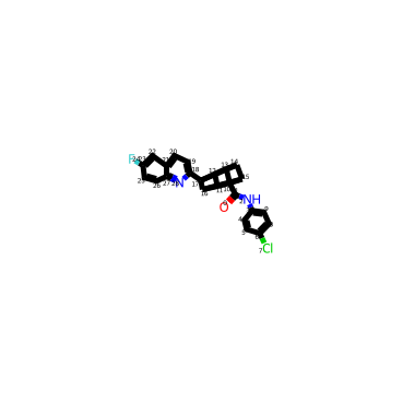 O=C(Nc1ccc(Cl)cc1)C12C3C4C1C1C2C3C41c1ccc2cc(F)ccc2n1